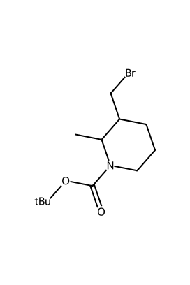 CC1C(CBr)CCCN1C(=O)OC(C)(C)C